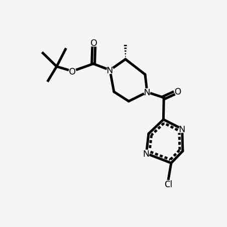 C[C@@H]1CN(C(=O)c2cnc(Cl)cn2)CCN1C(=O)OC(C)(C)C